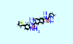 Nc1ccc(-c2cccs2)cc1NC(=O)c1cc2ccc(NC(=O)C3CCCN3)cc2cn1